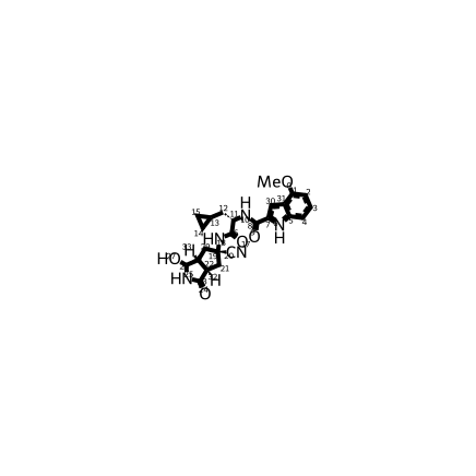 COc1cccc2[nH]c(C(=O)N[C@@H](CC3CC3)C(=O)N[C@]3(C#N)C[C@H]4C(=O)NC(O)[C@@H]4C3)cc12